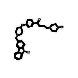 CCN1CCN(CCCC(=O)c2ccc(OC3CCN(Cc4ccc5c(c4)c4ccccc4n5CC)CC3)cc2)CC1